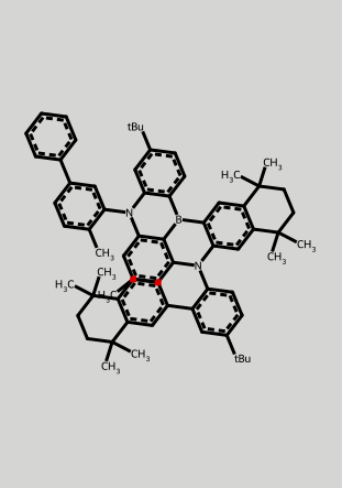 Cc1cc2c3c(c1)N(c1ccc(C(C)(C)C)cc1-c1ccc4c(c1)C(C)(C)CCC4(C)C)c1cc4c(cc1B3c1ccc(C(C)(C)C)cc1N2c1cc(-c2ccccc2)ccc1C)C(C)(C)CCC4(C)C